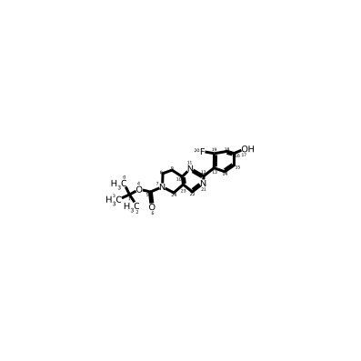 CC(C)(C)OC(=O)N1CCc2nc(-c3ccc(O)cc3F)ncc2C1